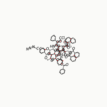 [N-]=[N+]=NCCCCCOC1OC2COC(c3ccccc3)OC2C(O[C@@H]2O[C@@H]([C@@H](COC(=O)c3ccccc3)OC3OC4COC(c5ccccc5)OC4C(O[C@@H]4O[C@@H]([C@H](O)COC(=O)c5ccccc5)C(OC(=O)c5ccccc5)C[C@@H]4OC(=O)c4ccccc4)C3NC(=O)OCC(Cl)(Cl)Cl)C(OC(=O)c3ccccc3)C[C@@H]2OC(=O)c2ccccc2)C1NC(=O)OCC(Cl)(Cl)Cl